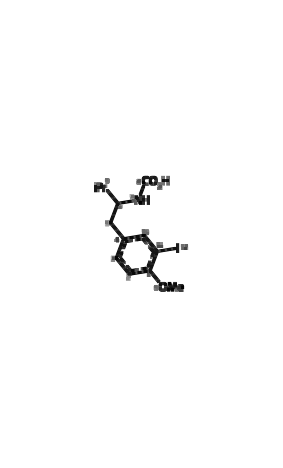 COc1ccc(CC(NC(=O)O)C(C)C)cc1I